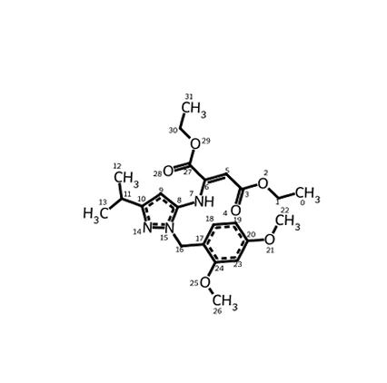 CCOC(=O)/C=C(\Nc1cc(C(C)C)nn1Cc1ccc(OC)cc1OC)C(=O)OCC